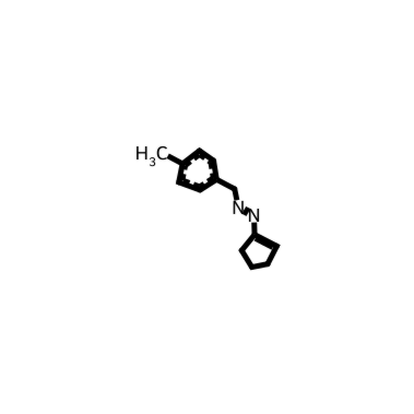 Cc1ccc(CN=NC2=CCCC2)cc1